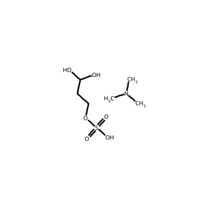 CN(C)C.O=S(=O)(O)OCCC(O)O